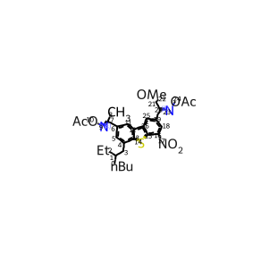 CCCCC(CC)Cc1cc(/C(C)=N/OC(C)=O)cc2c1sc1c([N+](=O)[O-])cc(/C(COC)=N/OC(C)=O)cc12